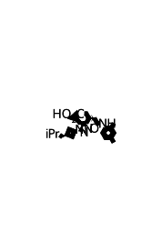 Cc1ccc(NC(=O)C[C@H](CC(=O)O)c2nnn([C@H]3C[C@H](CC(C)C)C3)c2C2CC2)c(C)c1